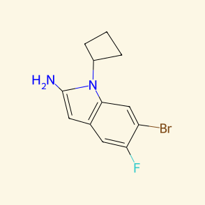 Nc1cc2cc(F)c(Br)cc2n1C1CCC1